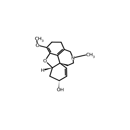 COC1=C2O[C@H]3C[C@@H](O)C=C[C@]34CCN(C)CC(=C24)CC1